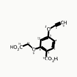 C#COc1ccc(C(=O)O)c(OCC(=O)O)c1